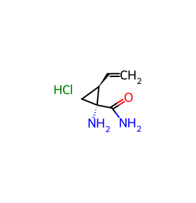 C=C[C@@H]1C[C@]1(N)C(N)=O.Cl